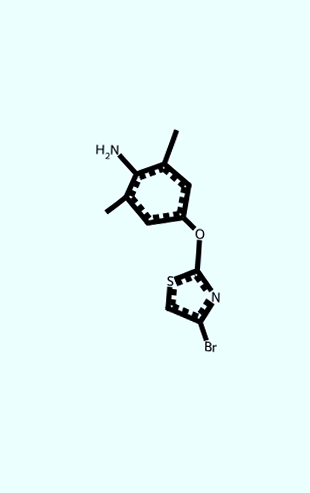 Cc1cc(Oc2nc(Br)cs2)cc(C)c1N